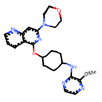 COc1nccnc1NC1CCC(Oc2nc(N3CCOCC3)cc3ncccc23)CC1